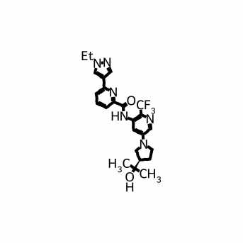 CCn1cc(-c2cccc(C(=O)Nc3cc(N4CC[C@@H](C(C)(C)O)C4)cnc3C(F)(F)F)n2)cn1